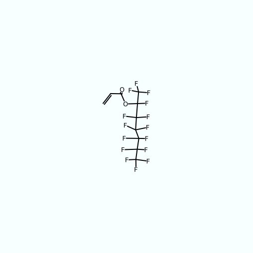 C=CC(=O)OC(F)(C(F)(F)F)C(F)(F)C(F)(F)C(F)(F)C(F)(F)C(F)(F)F